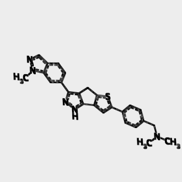 CN(C)Cc1ccc(-c2cc3c(s2)Cc2c(-c4ccc5cnn(C)c5c4)n[nH]c2-3)cc1